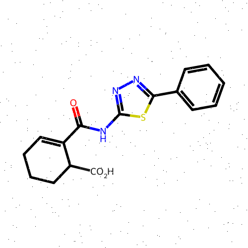 O=C(Nc1nnc(-c2ccccc2)s1)C1=CCCCC1C(=O)O